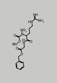 CC(C)(C)OC(=O)N(C(CCCNC(=N)N)C(=O)NCC(=O)OCc1ccccc1)[N+](=O)[O-]